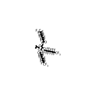 C=C(C)C(=O)OC(COC(=O)C(F)(F)C(F)(F)C(F)(F)C(F)(F)C(F)(F)C(F)(F)F)C(COC(=O)C(F)(F)C(F)(F)C(F)(F)C(F)(F)C(F)(F)C(F)(F)F)OC(=O)C(F)(F)C(F)(F)C(F)(F)C(F)(F)C(F)(F)C(F)(F)F